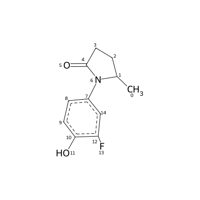 CC1CCC(=O)N1c1ccc(O)c(F)c1